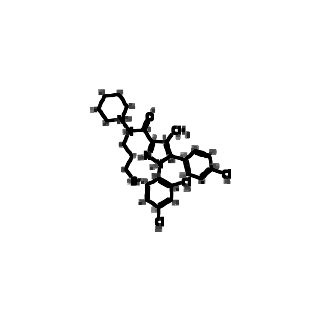 Cc1c(C(=O)N(CCCBr)N2CCCCC2)nn(-c2ccc(Cl)cc2Cl)c1-c1ccc(Cl)cc1